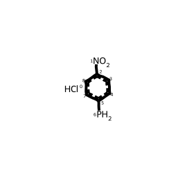 Cl.O=[N+]([O-])c1ccc(P)cc1